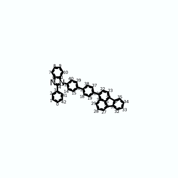 c1ccc(-c2nc3ccccc3n2-c2ccc(-c3ccc(-c4ccc5c6c(cccc46)-c4ccccc4-5)cc3)cc2)cc1